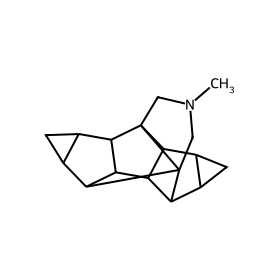 CN1CC23C4C5CC5C5C4C4C2C2CC2C4C53C1